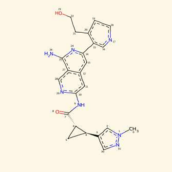 Cn1cc([C@H]2C[C@@H]2C(=O)Nc2cc3cc(-c4cnccc4CCO)nc(N)c3cn2)cn1